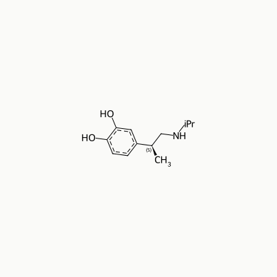 CC(C)NC[C@@H](C)c1ccc(O)c(O)c1